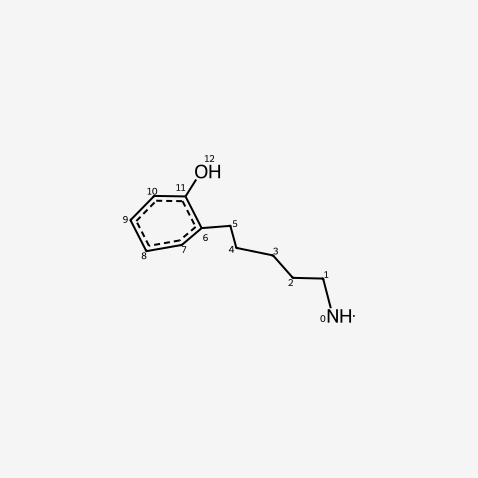 [NH]CCCCCc1ccccc1O